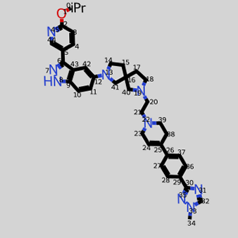 CC(C)Oc1ccc(-c2n[nH]c3ccc(N4CCC5(CCN(CCN6CC=C(c7ccc(-c8ncn(C)n8)cc7)CC6)C5)C4)cc23)cn1